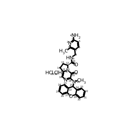 Cc1nc(N)ccc1CNC(=O)[C@@H]1CCc2cnc(N(C)C3c4ccccc4Oc4ccccc43)c(=O)n21.Cl.Cl